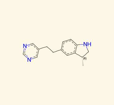 C[C@H]1CNc2ccc(CCc3cncnc3)cc21